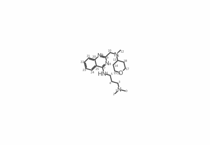 CN(C)CCCNc1nc(CN(C)C2CCOCC2)nc2ccccc12